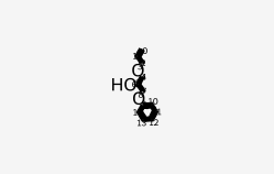 C=CCOCC(O)COc1ccccc1